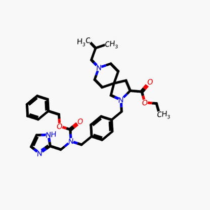 CCOC(=O)C1CC2(CCN(CC(C)C)CC2)CN1Cc1ccc(CN(Cc2ncc[nH]2)C(=O)OCc2ccccc2)cc1